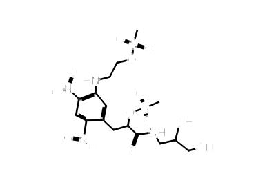 CS(=O)(=O)OCCNc1cc(CC(OS(C)(=O)=O)C(=O)NCC(O)CO)c([N+](=O)[O-])cc1[N+](=O)[O-]